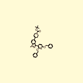 Cn1nc(-c2ccc(OCc3ccccc3)nc2OCc2ccccc2)c2cc(C3=CCN(C(=O)OC(C)(C)C)CC3)ccc21